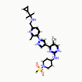 Cc1nc(CNC(C)(C)C2CC2)ccc1-n1cc(-c2nc(NC3CCN(S(C)(=O)=O)CC3)ncc2C#N)cn1